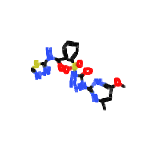 COc1cc(C)nc(NC(=O)NS(=O)(=O)c2ccccc2C(=O)Nc2nncs2)n1